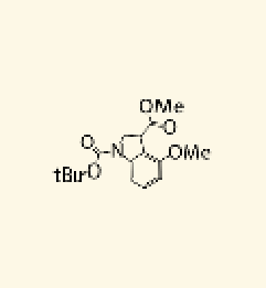 COC(=O)C1CN(C(=O)OC(C)(C)C)c2cccc(OC)c21